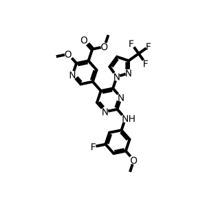 COC(=O)c1cc(-c2cnc(Nc3cc(F)cc(OC)c3)nc2-n2ccc(C(F)(F)F)n2)cnc1OC